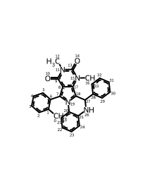 Cc1ccccc1-c1c2c(=O)n(C)c(=O)n(C)c2c2n1-c1ccccc1NC2c1ccccc1